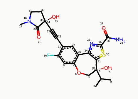 CC(C)[C@@]1(O)COc2cc(F)c(C#C[C@]3(O)CCN(C)C3=O)cc2-c2nc(C(N)=O)sc21